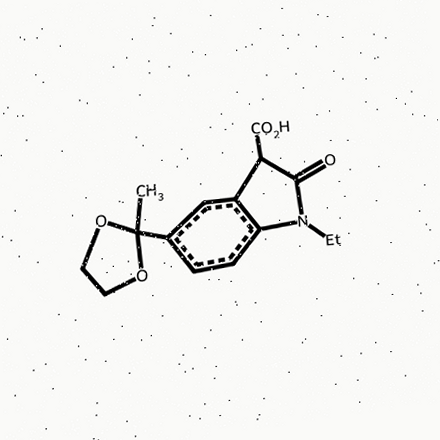 CCN1C(=O)C(C(=O)O)c2cc(C3(C)OCCO3)ccc21